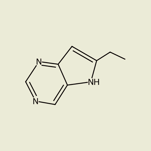 CCc1cc2ncncc2[nH]1